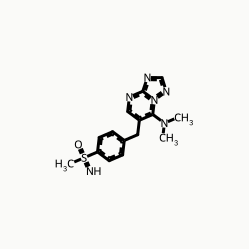 CN(C)c1c(Cc2ccc(S(C)(=N)=O)cc2)cnc2ncnn12